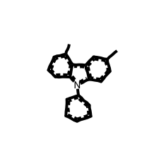 Cc1ccc2c(c1)c1c(C)cccc1n2-c1ccccc1